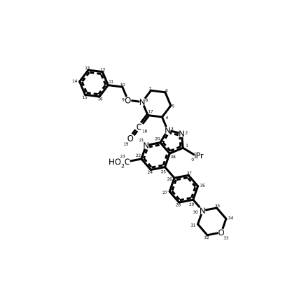 CC(C)c1nn(C2CCCN(OCc3ccccc3)C2=C=O)c2nc(C(=O)O)cc(-c3ccc(N4CCOCC4)cc3)c12